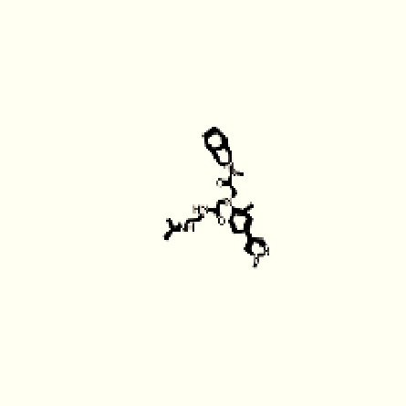 Cc1cc(-c2cnn(C)c2)ccc1N(CC(=O)NCCNC(C)C)CC(=O)N(C)N1Cc2ccccc2C1